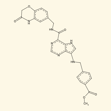 COC(=O)c1ccc(CNc2c[nH]c3c(C(=O)NCc4ccc5c(c4)NC(=O)CO5)ncnc23)cc1